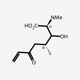 C=CC(=O)C[C@@H](C)C(O)[C@H](NC)C(=O)O